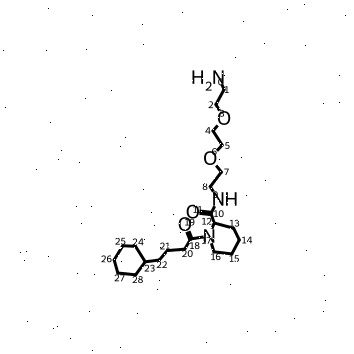 NCCOCCOCCNC(=O)C1CCCCN1C(=O)CCCC1CCCCC1